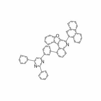 c1ccc(-c2cc(-c3cccc(-c4cccc5nc(-c6cc7ccccc7c7ccccc67)c6oc7ccccc7c6c45)c3)nc(-c3ccccc3)n2)cc1